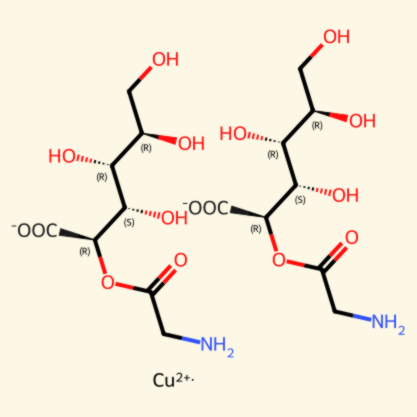 NCC(=O)O[C@@H](C(=O)[O-])[C@@H](O)[C@H](O)[C@H](O)CO.NCC(=O)O[C@@H](C(=O)[O-])[C@@H](O)[C@H](O)[C@H](O)CO.[Cu+2]